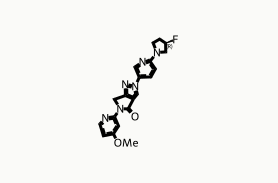 COc1ccnc(N2Cc3nn(-c4ccc(N5CC[C@@H](F)C5)nc4)cc3C2=O)c1